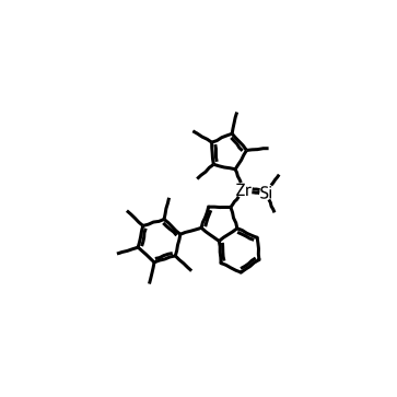 CC1=C(C)[CH]([Zr]([CH]2C=C(c3c(C)c(C)c(C)c(C)c3C)c3ccccc32)=[Si](C)C)C(C)=C1C